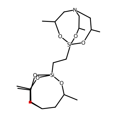 CC1CC2CC(C)O[Si](CC[Si]34OC(C)CN(CC(C)O3)CC(C)O4)(O1)OC(C)C2